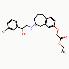 CCOC(=O)COc1ccc2c(c1)C[C@@H](NC[C@H](O)c1cccc(Cl)c1)CCC2